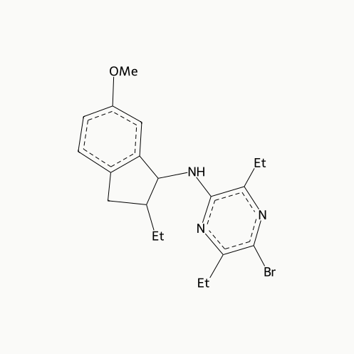 CCc1nc(NC2c3cc(OC)ccc3CC2CC)c(CC)nc1Br